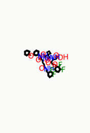 O=C(O)CC(NC(=O)C1(C(=O)NC(CCC(=O)NCc2ccccc2)C(=O)Nc2cccc(Oc3ccccc3)c2)CCC1)C(=O)COc1c(F)c(F)cc(F)c1F